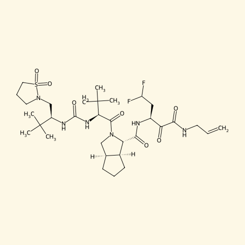 C=CCNC(=O)C(=O)[C@H](CC(F)F)NC(=O)[C@@H]1[C@H]2CCC[C@H]2CN1C(=O)[C@@H](NC(=O)N[C@H](CN1CCCS1(=O)=O)C(C)(C)C)C(C)(C)C